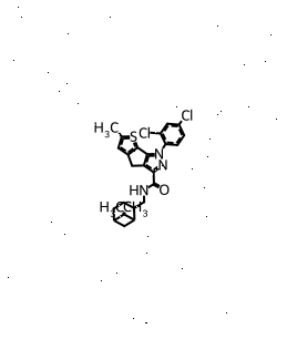 Cc1cc2c(s1)-c1c(c(C(=O)NCC3CCC4CC3C4(C)C)nn1-c1ccc(Cl)cc1Cl)C2